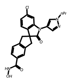 CCCn1cc(N2C(=O)C3(Cc4ccc(C(=O)NO)cc4C3)c3ccc(Cl)cc32)cn1